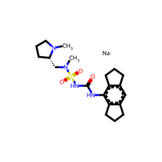 CN1CCC[C@H]1CN(C)S(=O)(=O)NC(=O)Nc1c2c(cc3c1CCC3)CCC2.[Na]